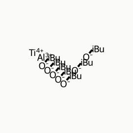 CCC(C)[O-].CCC(C)[O-].CCC(C)[O-].CCC(C)[O-].CCC(C)[O-].CCC(C)[O-].CCC(C)[O-].[Al+3].[Ti+4]